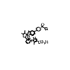 CC1=C(C)C(Nc2ccc(C3CCN(C(=O)C4CCC4)CC3)cc2C)(C(C)C)C(c2cccc(-n3ncc(C(=O)O)c3C)n2)C1